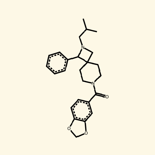 CC(C)CN1CC2(CCN(C(=O)c3ccc4c(c3)OCO4)CC2)C1c1ccccc1